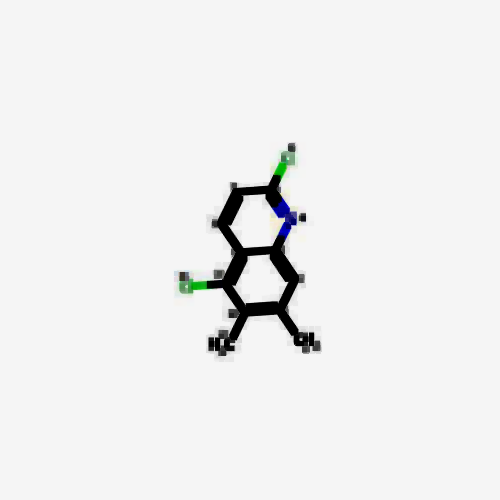 Cc1cc2nc(Cl)ccc2c(Cl)c1C